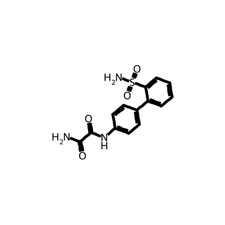 NC(=O)C(=O)Nc1ccc(-c2ccccc2S(N)(=O)=O)cc1